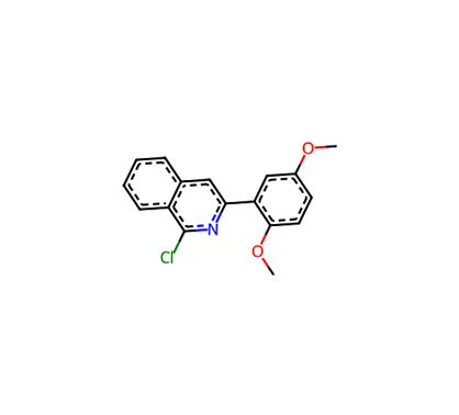 COc1ccc(OC)c(-c2cc3ccccc3c(Cl)n2)c1